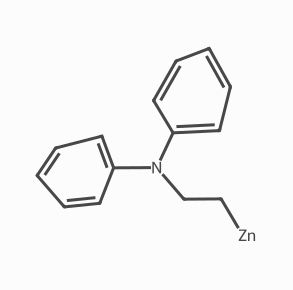 [Zn][CH2]CN(c1ccccc1)c1ccccc1